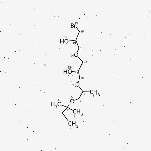 CCC(C)(C)OCC(C)OCC(O)COCC(O)CBr